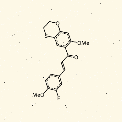 COc1ccc(C=CC(=O)c2cc3c(cc2OC)OCCS3)cc1F